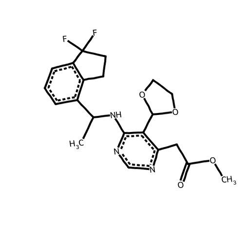 COC(=O)Cc1ncnc(NC(C)c2cccc3c2CCC3(F)F)c1C1OCCO1